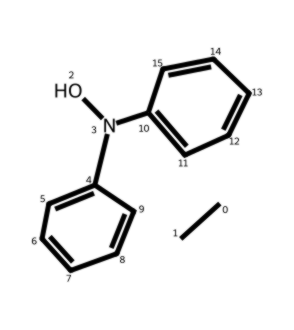 CC.ON(c1ccccc1)c1ccccc1